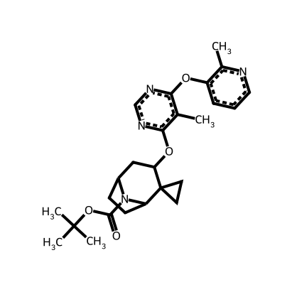 Cc1ncccc1Oc1ncnc(OC2CC3CCC(N3C(=O)OC(C)(C)C)C23CC3)c1C